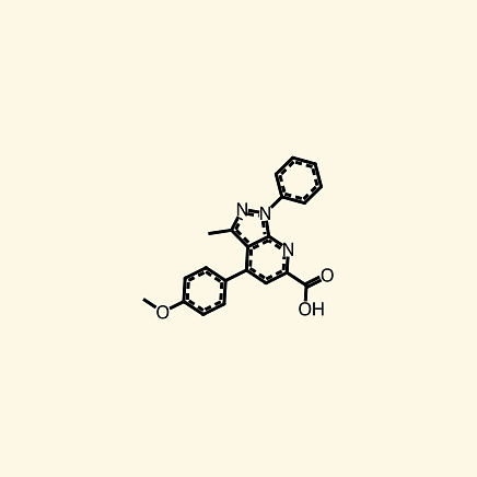 COc1ccc(-c2cc(C(=O)O)nc3c2c(C)nn3-c2ccccc2)cc1